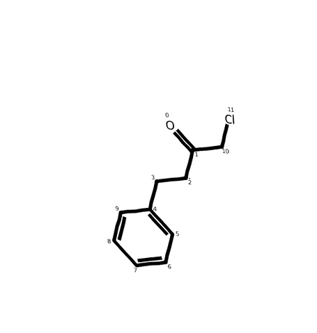 O=C([CH]Cc1ccccc1)CCl